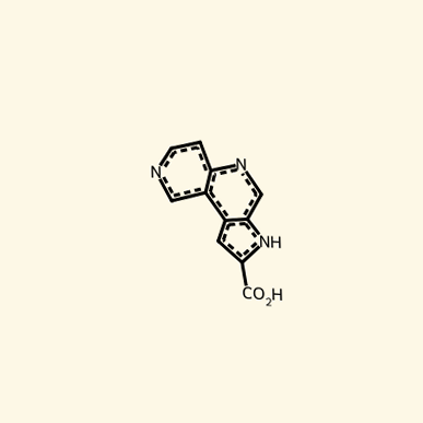 O=C(O)c1cc2c(cnc3ccncc32)[nH]1